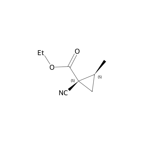 CCOC(=O)[C@@]1(C#N)C[C@@H]1C